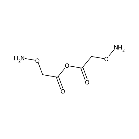 NOCC(=O)OC(=O)CON